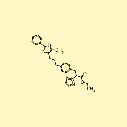 CCOC(=O)C(Cc1ccc(CCCc2nc(-c3ccccc3)oc2C)cc1)n1nccn1